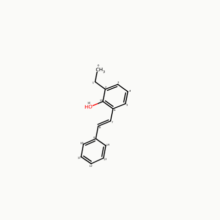 CCc1cccc(C=Cc2ccccc2)c1O